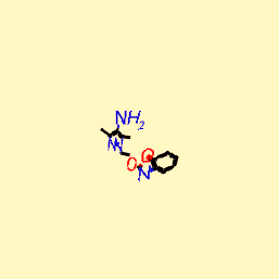 Cc1nn(CCOc2nc3ccccc3o2)c(C)c1N